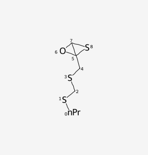 CCCSCSCC12OC1S2